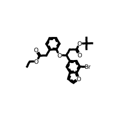 CCOC(=O)Cc1ccccc1OC(CC(=O)OC(C)(C)C)c1cc(Br)c2occc2c1